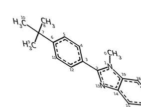 Cn1c(-c2ccc(C(C)(C)C)cc2)nc2ccccc21